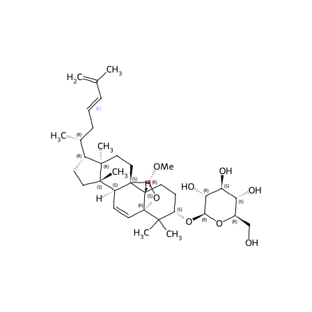 C=C(C)/C=C/C[C@@H](C)[C@H]1CC[C@@]2(C)[C@@H]3C=C[C@@]45O[C@@H](OC)[C@]3(CC[C@]12C)[C@@H]4CC[C@H](O[C@@H]1O[C@H](CO)[C@@H](O)[C@H](O)[C@H]1O)C5(C)C